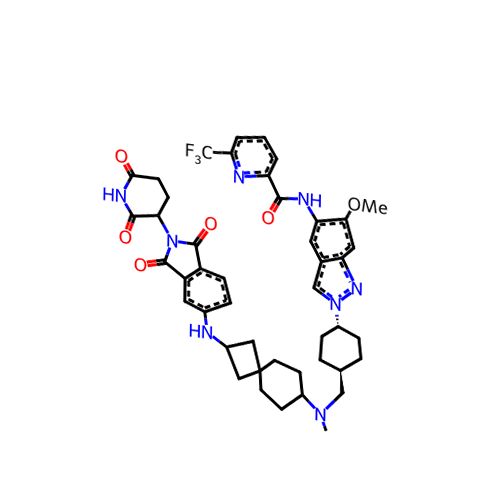 COc1cc2nn([C@H]3CC[C@H](CN(C)C4CCC5(CC4)CC(Nc4ccc6c(c4)C(=O)N(C4CCC(=O)NC4=O)C6=O)C5)CC3)cc2cc1NC(=O)c1cccc(C(F)(F)F)n1